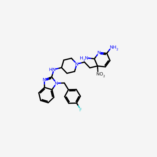 NC1=NC(N)C(CCN2CCC(Nc3nc4ccccc4n3Cc3ccc(F)cc3)CC2)([N+](=O)[O-])C=C1